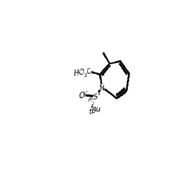 CC1=C(C(=O)O)N([S@@+]([O-])C(C)(C)C)C=CC=C1